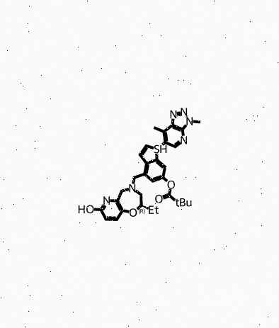 CC[C@@H]1CN(Cc2cc(OC(=O)C(C)(C)C)cc3c2C=C[SH]3c2cnc3c(nnn3C)c2C)Cc2nc(O)ccc2O1